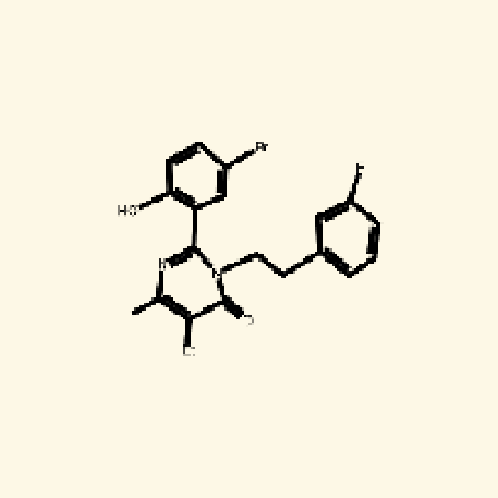 CCc1c(C)nc(-c2cc(Br)ccc2O)n(CCc2cccc(F)c2)c1=O